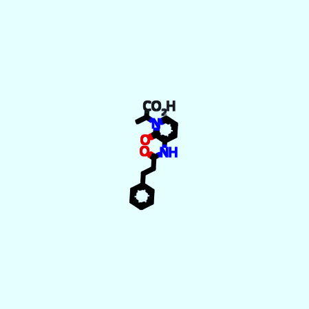 CC(C(=O)O)n1cccc(NC(=O)CCc2ccccc2)c1=O